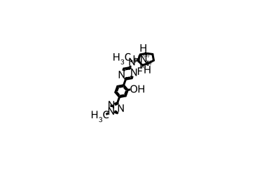 CN(c1cnc(-c2ccc(-c3ncn(C)n3)cc2O)cn1)[C@H]1C[C@@H]2CC[C@@H](N2)[C@H]1F